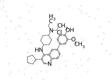 CCN(CC)C1CCC(Nc2c([C]3CCCC3)cnc3ccc(-c4cc(Cl)c(O)c(OC)c4)cc23)CC1